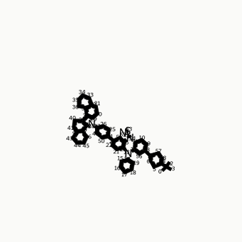 CC(C)(C)c1ccc(-c2cccc(N(c3ccccc3)c3ccc(-c4ccc(-n5c6ccc7ccccc7c6c6ccc7ccccc7c65)cc4)c4nsnc34)c2)cc1